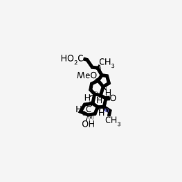 C/C=C1/C(=O)[C@@H]2[C@H](CC[C@]3(OC)C([C@H](C)CCC(=O)O)CC[C@@H]23)[C@@]2(C)CC[C@@H](O)C[C@@H]12